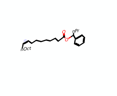 CCCCCCCC/C=C\CCCCCCCC(=O)OC(CCC)c1ccccc1